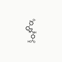 COc1ccc(-c2cccn3nc(Nc4ccc(C(=O)O)cc4)nc23)cn1